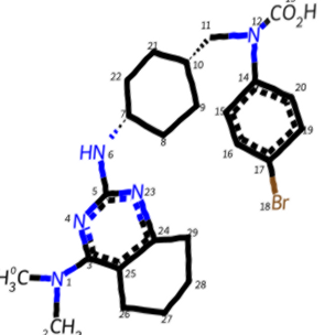 CN(C)c1nc(N[C@H]2CC[C@@H](CN(C(=O)O)c3ccc(Br)cc3)CC2)nc2c1CCCC2